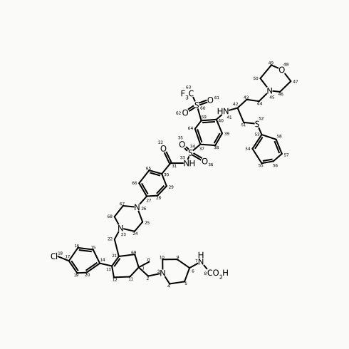 CC1(CN2CCC(NC(=O)O)CC2)CCC(c2ccc(Cl)cc2)=C(CN2CCN(c3ccc(C(=O)NS(=O)(=O)c4ccc(NC(CCN5CCOCC5)CSc5ccccc5)c(S(=O)(=O)C(F)(F)F)c4)cc3)CC2)C1